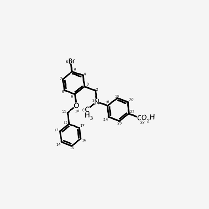 CN(Cc1cc(Br)ccc1OCc1ccccc1)c1ccc(C(=O)O)cc1